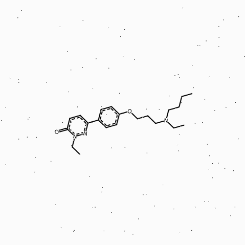 CCCCN(CC)CCCOc1ccc(-c2ccc(=O)n(CC)n2)cc1